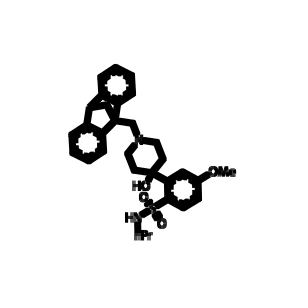 CCCNS(=O)(=O)c1ccc(OC)cc1C1(O)CCN(CC23CC(c4ccccc42)c2ccccc23)CC1